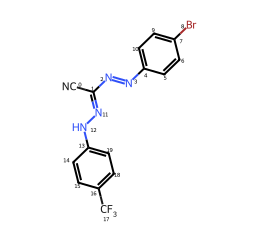 N#CC(N=Nc1ccc(Br)cc1)=NNc1ccc(C(F)(F)F)cc1